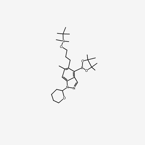 Cc1cc2c(cnn2C2CCCCO2)c(B2OC(C)(C)C(C)(C)O2)c1CCCO[Si](C)(C)C(C)(C)C